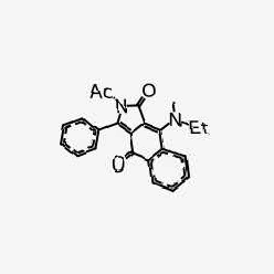 CCN(C)C1=C2C(=O)N(C(C)=O)C(c3ccccc3)=C2C(=O)c2ccccc21